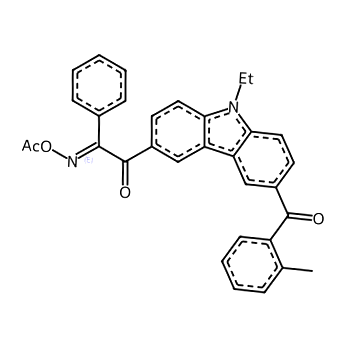 CCn1c2ccc(C(=O)/C(=N/OC(C)=O)c3ccccc3)cc2c2cc(C(=O)c3ccccc3C)ccc21